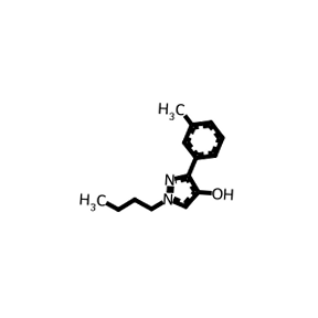 CCCCn1cc(O)c(-c2cccc(C)c2)n1